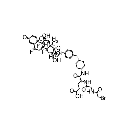 C[C@]12C=CC(=O)C=C1[C@@H](F)C[C@H]1[C@@H]3C[C@H]4O[C@@H](c5ccc(C[C@H]6CC[C@@H](NC(=O)[C@H](CCC(=O)O)NC(=O)CNC(=O)CBr)CC6)cc5)O[C@@]4(C(=O)CO)[C@@]3(C)C[C@H](O)[C@@]12F